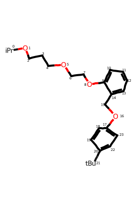 CC(C)OCCCOCCOc1ccccc1COc1ccc(C(C)(C)C)cc1